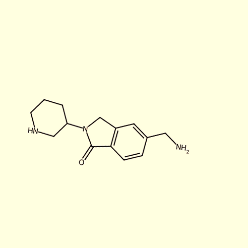 NCc1ccc2c(c1)CN(C1CCCNC1)C2=O